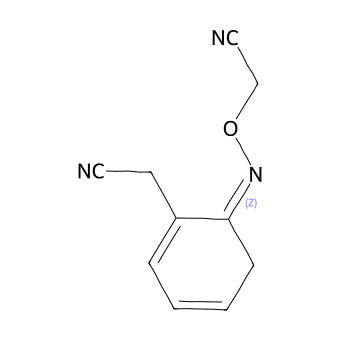 N#CCO/N=C1/CC=CC=C1CC#N